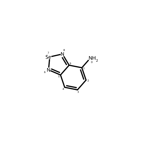 Nc1cccc2n[se]nc12